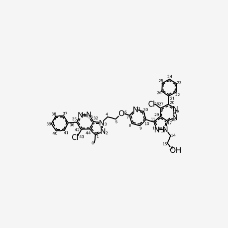 Cc1nn(CCOc2ccc(-c3nn(CCO)c4nnc(-c5ccccc5)c(Cl)c34)cn2)c2nnc(-c3ccccc3)c(Cl)c12